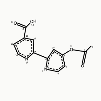 CC(=O)Oc1ccnc(-c2cc(C(=O)O)ccn2)c1